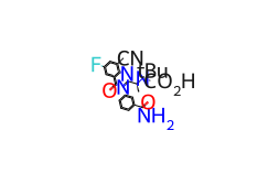 C[C@@H](c1nc2c(C#N)cc(F)cc2c(=O)n1-c1cccc(C(N)=O)c1)N(C(=O)O)C(C)(C)C